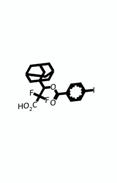 O=C(OC(C12CC3CC(CC(C3)C1)C2)C(F)(F)C(=O)O)c1ccc(I)cc1